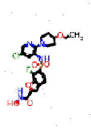 CCOC1CCN(c2ncc(Cl)cc2NS(=O)(=O)c2ccc3cc(C(=O)NO)oc3c2F)CC1